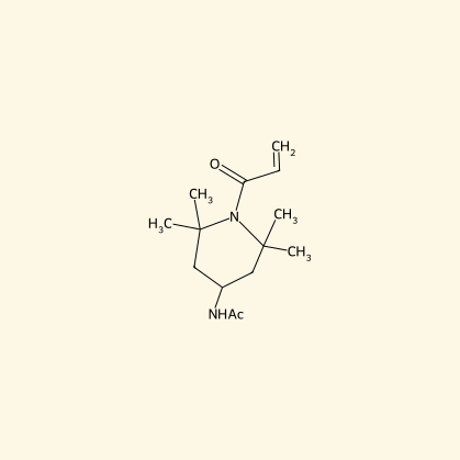 C=CC(=O)N1C(C)(C)CC(NC(C)=O)CC1(C)C